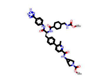 Cc1nc(C(=O)NC2C3CN(C(=O)OC(C)(C)C)CC32)ccc1-c1ccc(C[C@H](NC(=O)C2CCC(CNC(=O)OC(C)(C)C)CC2)C(=O)Nc2ccc(-c3nn[nH]n3)cc2)cc1